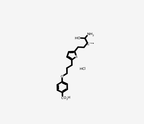 C[C@H](CCc1ccc(CCCOc2ccc(C(=O)O)cc2)s1)C(N)O.Cl